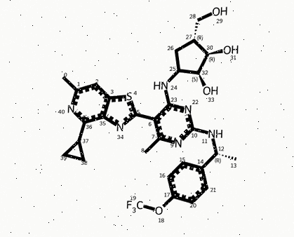 Cc1cc2sc(-c3c(C)nc(N[C@H](C)c4ccc(OC(F)(F)F)cc4)nc3NC3C[C@H](CO)[C@@H](O)[C@H]3O)nc2c(C2CC2)n1